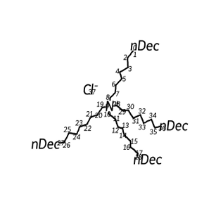 CCCCCCCCCCCCCCCCCC[N+](CCCCCCCCCCCCCCCCCC)(CCCCCCCCCCCCCCCCCC)CCCCCCCCCCCCCCCCCC.[Cl-]